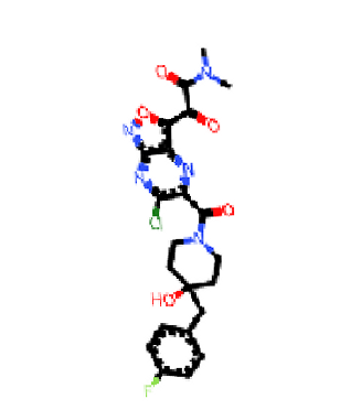 CN(C)C(=O)C(=O)c1onc2nc(Cl)c(C(=O)N3CCC(O)(Cc4ccc(F)cc4)CC3)nc12